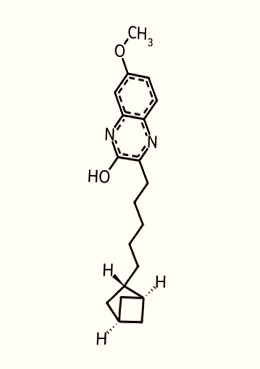 COc1ccc2nc(CCCCC[C@H]3C[C@H]4C[C@@H]3C4)c(O)nc2c1